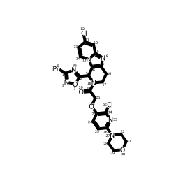 CC(C)c1noc(C2c3c(nc4cc(Cl)ccn34)CCN2C(=O)COc2ccc(N3CCOCC3)nc2Cl)n1